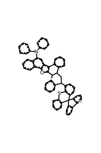 CC1c2oc3c(cc(N(c4ccccc4)c4ccccc4)c4ccccc43)c2-c2ccccc2C1CC(c1ccccc1)c1cccc2c1Sc1ccccc1C21c2ccccc2-c2ccccc21